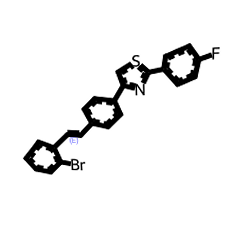 Fc1ccc(-c2nc(-c3ccc(/C=C/c4ccccc4Br)cc3)cs2)cc1